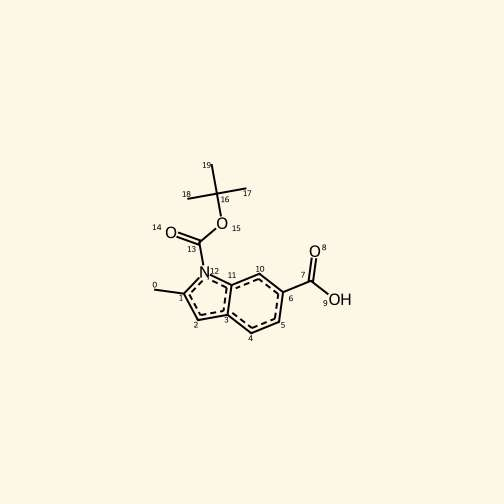 Cc1cc2ccc(C(=O)O)cc2n1C(=O)OC(C)(C)C